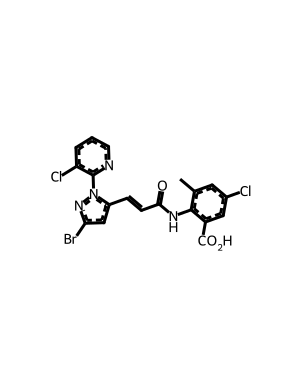 Cc1cc(Cl)cc(C(=O)O)c1NC(=O)C=Cc1cc(Br)nn1-c1ncccc1Cl